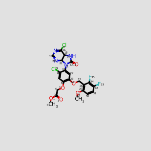 COC(=O)COc1cc(Cl)c(N2C(=O)NC3C(Cl)=NC=NC32)cc1OCc1c(OC)ccc(F)c1F